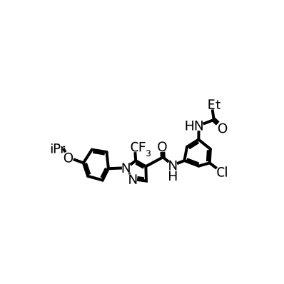 CCC(=O)Nc1cc(Cl)cc(NC(=O)c2cnn(-c3ccc(OC(C)C)cc3)c2C(F)(F)F)c1